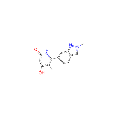 Cc1c(O)cc(=O)[nH]c1-c1ccc2cn(C)nc2c1